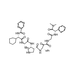 CCC[C@H](NC(=O)[C@@H]1CNC[C@@H]1NC(=O)[C@@H](NC(=O)[C@@H](NC(=O)c1cnccn1)C1CCCCC1)C(C)(C)C)C(=O)C(=O)NCC(=O)N[C@H](C(=O)N(C)C)c1ccccc1